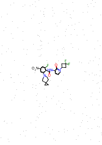 O=C(Nc1cccn(C2CC(F)(F)C2)c1=O)c1c(F)cc([N+](=O)[O-])cc1N1CCC2(CC1)CC2